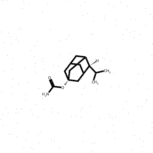 CC(C)[C@H]1C2CC3CC1C[C@](OC(N)=O)(C3)C2